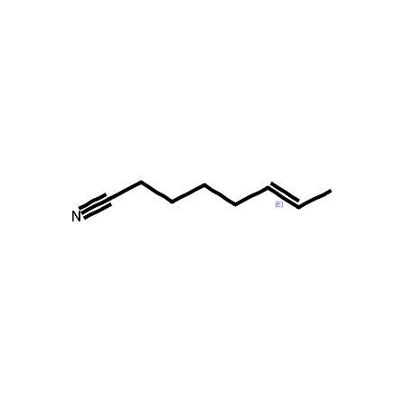 C/C=C/CCCCC#N